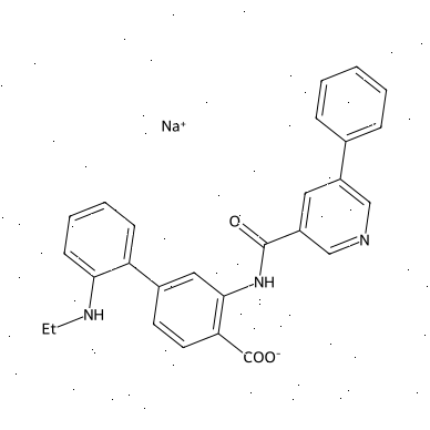 CCNc1ccccc1-c1ccc(C(=O)[O-])c(NC(=O)c2cncc(-c3ccccc3)c2)c1.[Na+]